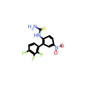 NC(=S)Nc1ccc([N+](=O)[O-])cc1-c1ccc(F)c(F)c1F